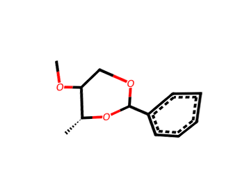 COC1COC(c2ccccc2)O[C@@H]1C